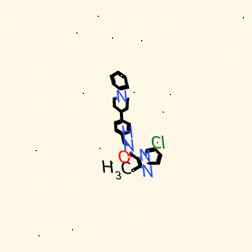 CCc1nc2ccc(Cl)cn2c1C(=O)NCc1ccc(C2CCN(c3ccccc3)CC2)cc1